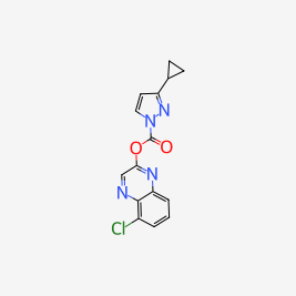 O=C(Oc1cnc2c(Cl)cccc2n1)n1ccc(C2CC2)n1